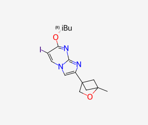 CC[C@@H](C)Oc1nc2nc(C34COC(C)(C3)C4)cn2cc1I